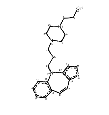 OCCN1CCN(CCCN2c3ccccc3C=Cc3sccc32)CC1